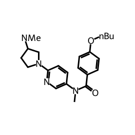 CCCCOc1ccc(C(=O)N(C)c2ccc(N3CCC(NC)C3)nc2)cc1